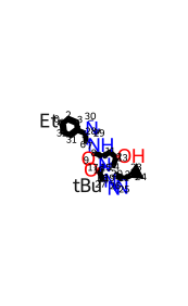 CCc1ccc(C(CNC(=O)C2CC(O)CN2C(=O)[C@@H](n2cc(C3CC3)nn2)C(C)(C)C)N(C)C)cc1